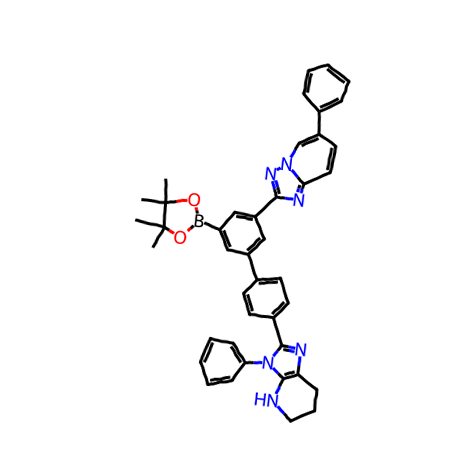 CC1(C)OB(c2cc(-c3ccc(-c4nc5c(n4-c4ccccc4)NCCC5)cc3)cc(-c3nc4ccc(-c5ccccc5)cn4n3)c2)OC1(C)C